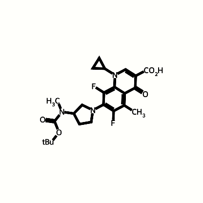 Cc1c(F)c(N2CCC(N(C)C(=O)OC(C)(C)C)C2)c(F)c2c1c(=O)c(C(=O)O)cn2C1CC1